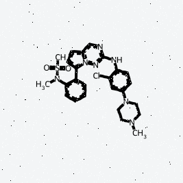 CN1CCN(c2ccc(Nc3ncc4ccc(-c5ccccc5N(C)S(C)(=O)=O)n4n3)c(Cl)c2)CC1